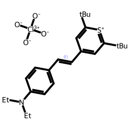 CCN(CC)c1ccc(/C=C/c2cc(C(C)(C)C)[s+]c(C(C)(C)C)c2)cc1.[O-][Cl+3]([O-])([O-])[O-]